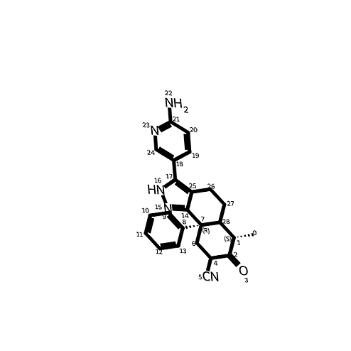 C[C@@H]1C(=O)C(C#N)C[C@@]2(c3ccccc3)c3n[nH]c(-c4ccc(N)nc4)c3CCC12